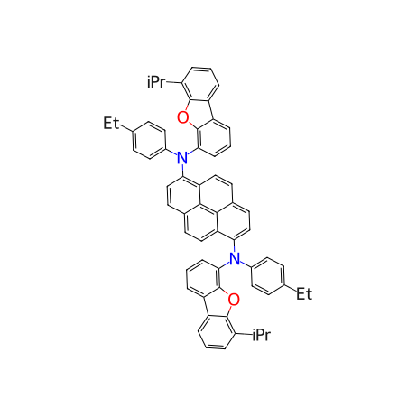 CCc1ccc(N(c2ccc3ccc4c(N(c5ccc(CC)cc5)c5cccc6c5oc5c(C(C)C)cccc56)ccc5ccc2c3c54)c2cccc3c2oc2c(C(C)C)cccc23)cc1